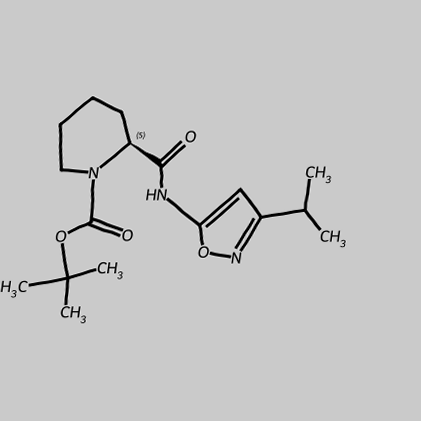 CC(C)c1cc(NC(=O)[C@@H]2CCCCN2C(=O)OC(C)(C)C)on1